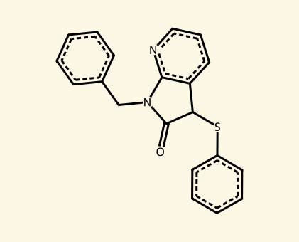 O=C1C(Sc2ccccc2)c2cccnc2N1Cc1ccccc1